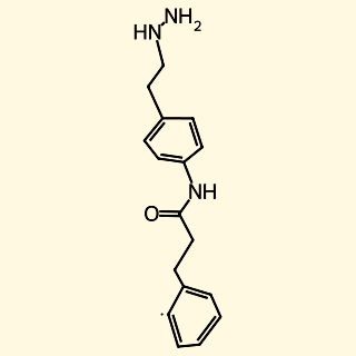 NNCCc1ccc(NC(=O)CCc2[c]cccc2)cc1